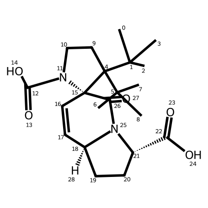 CC(C)(C)C1(C(C)(C)C)CCN(C(=O)O)[C@]12C=C[C@@H]1CC[C@@H](C(=O)O)N1C2=O